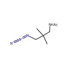 CC(=O)NCC(C)(C)CN=[N+]=[N-]